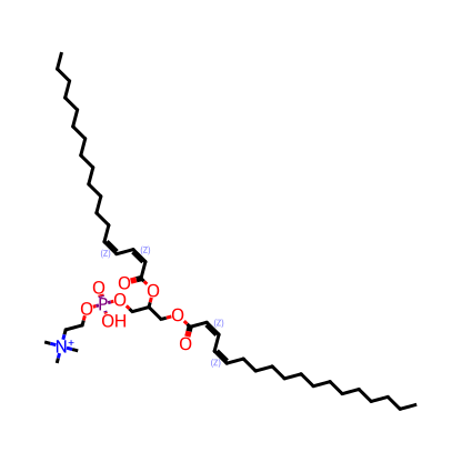 CCCCCCCCCCCCC/C=C\C=C/C(=O)OCC(COP(=O)(O)OCC[N+](C)(C)C)OC(=O)/C=C\C=C/CCCCCCCCCCCCC